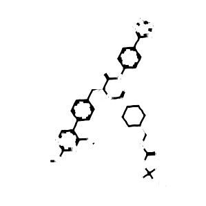 COc1ncc(-c2ccc(C[C@H](NC(=O)[C@H]3CC[C@H](CNC(=O)OC(C)(C)C)CC3)C(=O)Nc3ccc(-c4nn[nH]n4)cc3)cc2)c(OC)n1